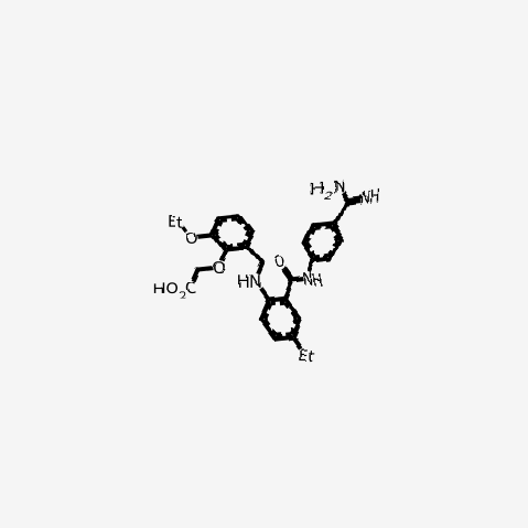 CCOc1cccc(CNc2ccc(CC)cc2C(=O)Nc2ccc(C(=N)N)cc2)c1OCC(=O)O